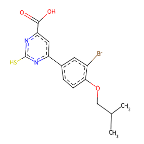 CC(C)COc1ccc(-c2cc(C(=O)O)nc(S)n2)cc1Br